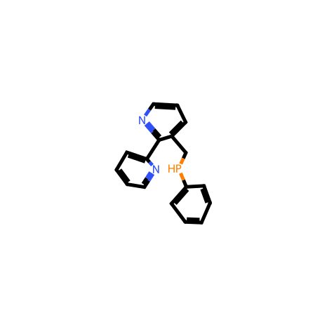 c1ccc(PCc2cccnc2-c2ccccn2)cc1